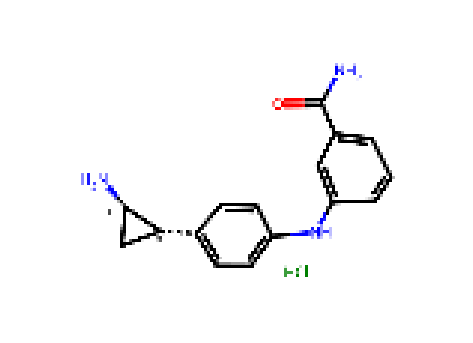 Cl.NC(=O)c1cccc(Nc2ccc([C@@H]3C[C@H]3N)cc2)c1